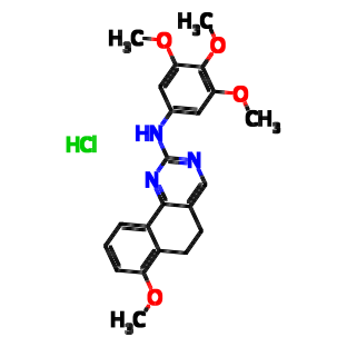 COc1cccc2c1CCc1cnc(Nc3cc(OC)c(OC)c(OC)c3)nc1-2.Cl